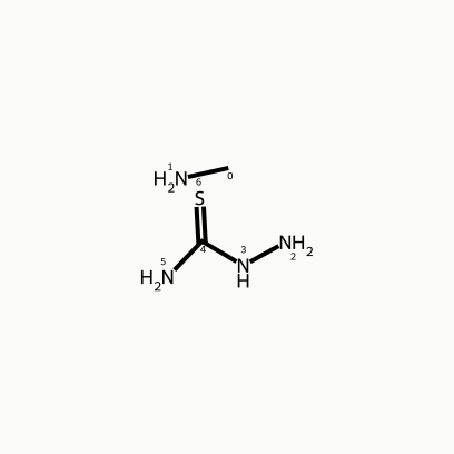 CN.NNC(N)=S